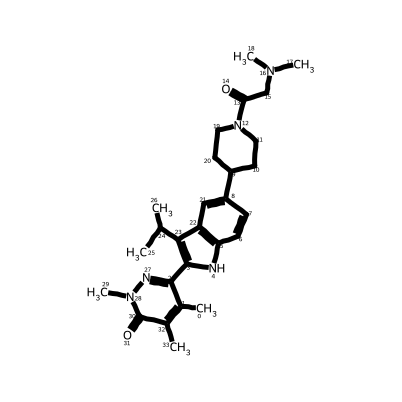 Cc1c(-c2[nH]c3ccc(C4CCN(C(=O)CN(C)C)CC4)cc3c2C(C)C)nn(C)c(=O)c1C